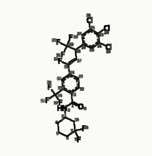 O=C(NC1CCCC(F)(F)C1)c1ccc(C(F)=CC(c2cc(Cl)c(Cl)c(Cl)c2)C(F)(F)F)cc1C(F)(F)F